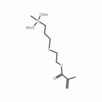 C=C(C)C(=O)OCCSCCC[Si](C)(OC)OC